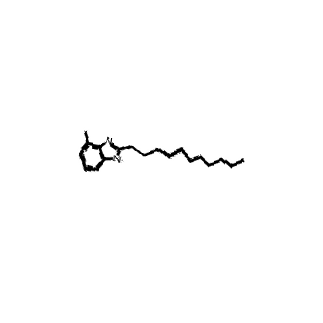 CCCCCCCCCCCC1=Nc2c(C)cccc2[N]1